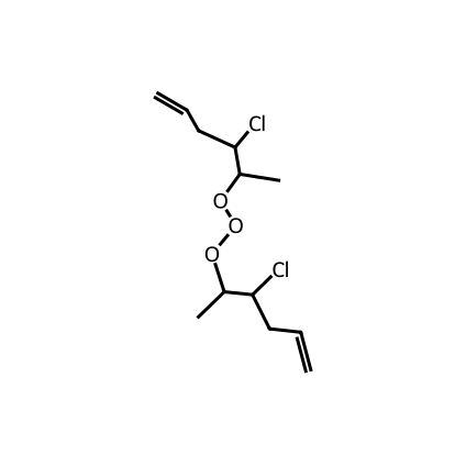 C=CCC(Cl)C(C)OOOC(C)C(Cl)CC=C